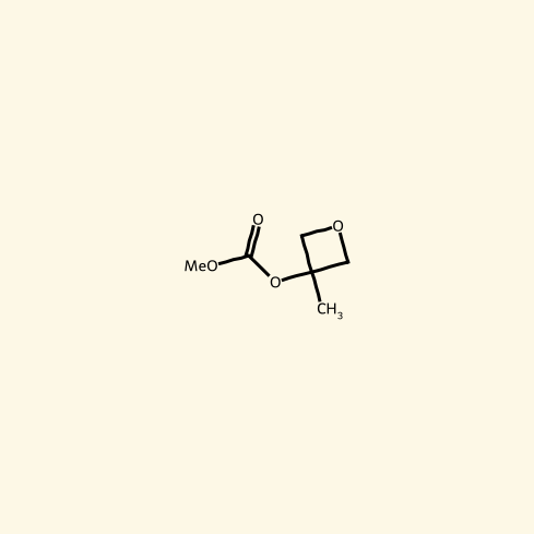 COC(=O)OC1(C)COC1